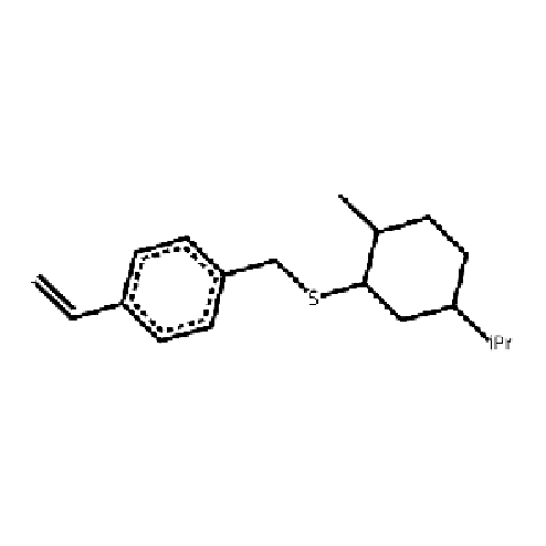 C=Cc1ccc(CSC2CC(C(C)C)CCC2C)cc1